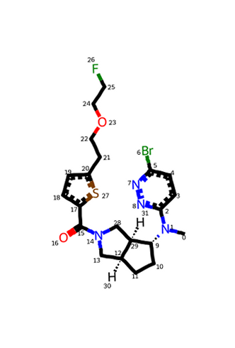 CN(c1ccc(Br)nn1)[C@@H]1CC[C@H]2CN(C(=O)c3ccc(CCOCCF)s3)C[C@H]21